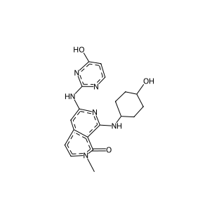 Cn1ccc2cc(Nc3nccc(O)n3)nc(NC3CCC(O)CC3)c2c1=O